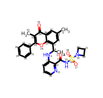 Cc1cc([C@@H](C)Nc2cccnc2C(=O)NS(=O)(=O)N2CCC2)c2oc(-c3ccccc3)c(C)c(=O)c2c1